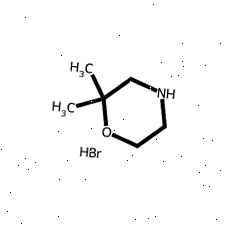 Br.CC1(C)CNCCO1